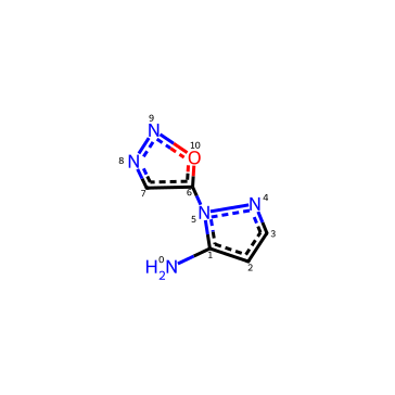 Nc1ccnn1-c1cnno1